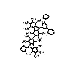 Bc1c(O)c(B)c2c(c1B)c1c(O)c(-c3c(O)c(O)c4c(c3O)c3c(O)c(B)c(O)c(O)c3n4-c3ccccc3)c(O)c(B)c1n2-c1cc(-c2ccccc2)cc(-c2ccccc2)c1